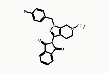 O=C(O)N1CCc2c(N3C(=O)c4ccccc4C3=O)nn(Cc3ccc(F)cc3)c2C1